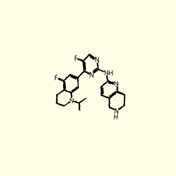 CC(C)N1CCCc2c(F)cc(-c3nc(Nc4ccc5c(n4)CCNC5)ncc3F)cc21